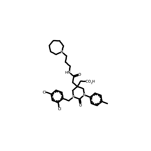 Cc1ccc(N2CC(CC(=O)O)(CC(=O)NCCCN3CCCCCC3)CN(Cc3ccc(Cl)cc3Cl)C2=O)cc1